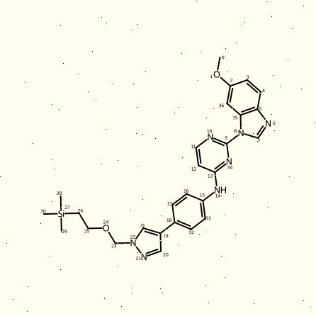 COc1ccc2ncn(-c3nccc(Nc4ccc(-c5cnn(COCC[Si](C)(C)C)c5)cc4)n3)c2c1